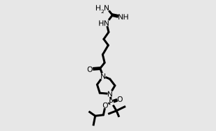 CC(C)COP(=O)(N1CCN(C(=O)CCCCCNC(=N)N)CC1)C(C)(C)C